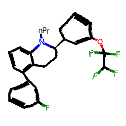 CCCN1c2cccc(-c3cccc(F)c3)c2CC[C@@H]1C1C=C(OC(F)(F)C(F)F)C=CC1